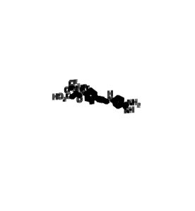 Cc1cc(N(C(=O)C(CC(=O)O)NC(=O)C(F)(F)F)C(C)C)ccc1C#CCNc1ccc(C(=N)N)cc1